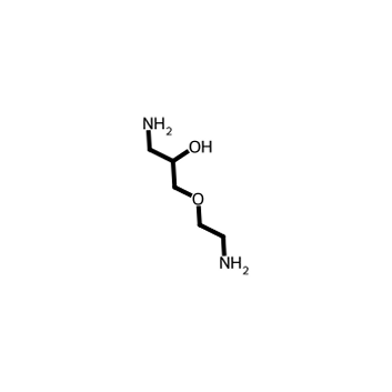 NCCOCC(O)CN